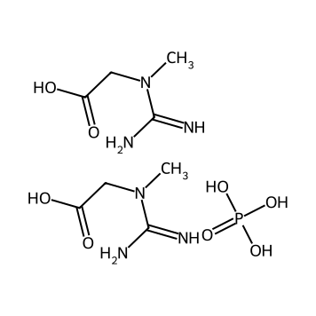 CN(CC(=O)O)C(=N)N.CN(CC(=O)O)C(=N)N.O=P(O)(O)O